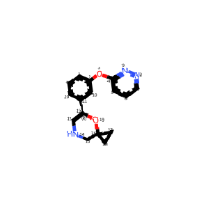 c1cc(Oc2cccnn2)cc([C@@H]2CNCC3(CC3)O2)c1